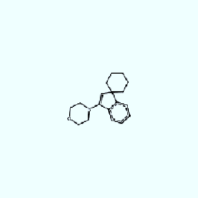 C1=C(N2CCOCC2)c2ccccc2C12CCCCC2